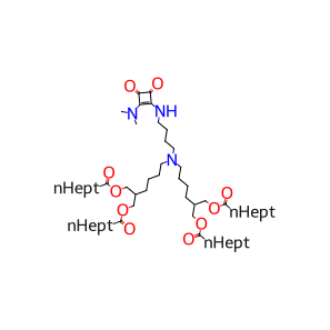 CCCCCCCC(=O)OCC(CCCCN(CCCCNc1c(N(C)C)c(=O)c1=O)CCCCC(COC(=O)CCCCCCC)COC(=O)CCCCCCC)COC(=O)CCCCCCC